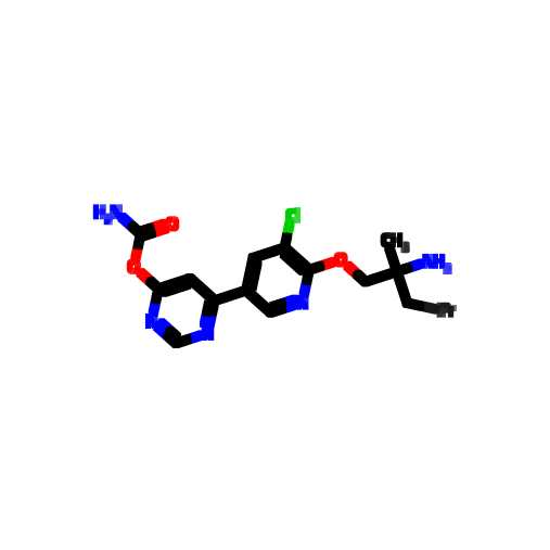 CC(C)CC(C)(N)COc1ncc(-c2cc(OC(N)=O)ncn2)cc1Cl